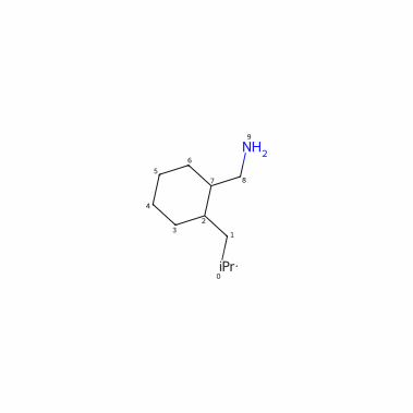 C[C](C)CC1CCCCC1CN